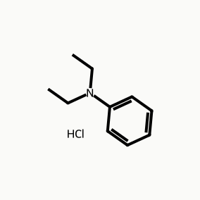 CCN(CC)c1ccccc1.Cl